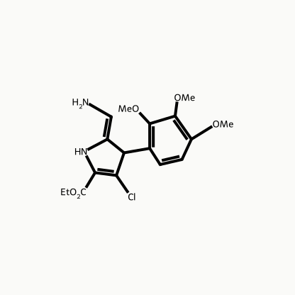 CCOC(=O)C1=C(Cl)C(c2ccc(OC)c(OC)c2OC)C(=CN)N1